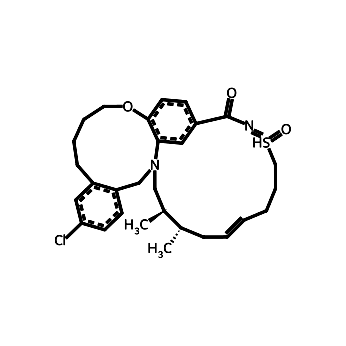 C[C@H]1C/C=C/CCC/[SH](=O)=N\C(=O)c2ccc3c(c2)N(Cc2ccc(Cl)cc2CCCCO3)C[C@@H]1C